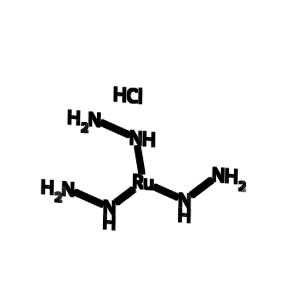 Cl.N[NH][Ru]([NH]N)[NH]N